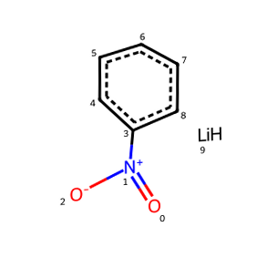 O=[N+]([O-])c1ccccc1.[LiH]